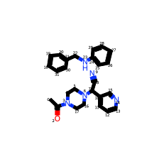 CC(=O)N1CCN(C(C#N)c2cccnc2)CC1.c1ccc(CNc2ccccc2)cc1